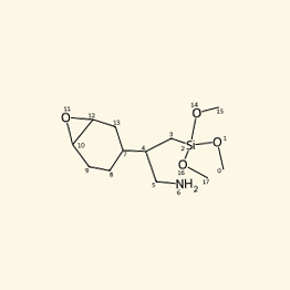 CO[Si](CC(CN)C1CCC2OC2C1)(OC)OC